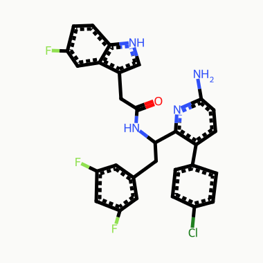 Nc1ccc(-c2ccc(Cl)cc2)c(C(Cc2cc(F)cc(F)c2)NC(=O)Cc2c[nH]c3ccc(F)cc23)n1